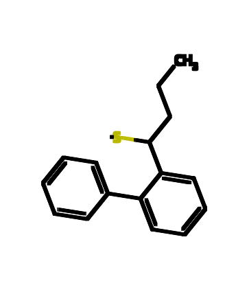 CCCC([S])c1ccccc1-c1ccccc1